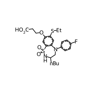 CCCCC1CN(c2ccc(F)cc2)c2cc(SCC)c(OCCC(=O)O)cc2S(=O)(=O)N1